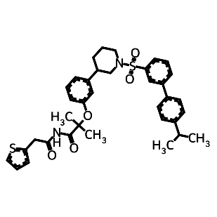 CC(C)c1ccc(-c2cccc(S(=O)(=O)N3CCCC(c4cccc(OC(C)(C)C(=O)NC(=O)Cc5cccs5)c4)C3)c2)cc1